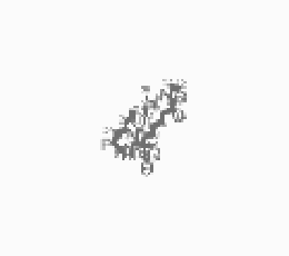 C=CC[C@@H]1[C@H](C)C(F)CN=C(C2(CCCCCC(=O)c3ncco3)COC(=O)N2)N1COCC[Si](C)(C)C